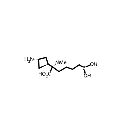 CN[C@](CCCCB(O)O)(C(=O)O)[C@H]1C[C@H](N)C1